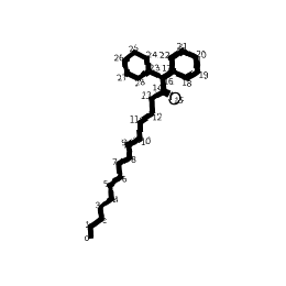 CCCCCCCCCCCCCCC(=O)C(C1CCCCC1)C1CCCCC1